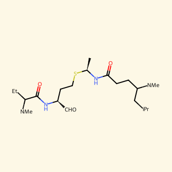 CCC(NC)C(=O)N[C@H](C=O)CCS[C@@H](C)NC(=O)CCC(CC(C)C)NC